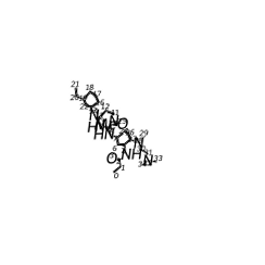 C=CC(=O)Nc1cc(Nc2nccc(Nc3cccc(C=C)c3)n2)c(OC)cc1N(C)CCN(C)C